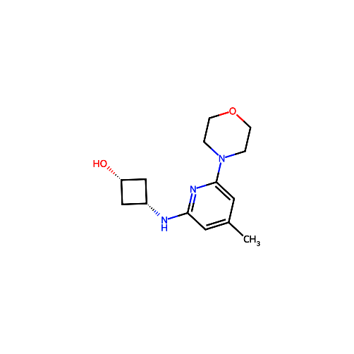 Cc1cc(N[C@H]2C[C@@H](O)C2)nc(N2CCOCC2)c1